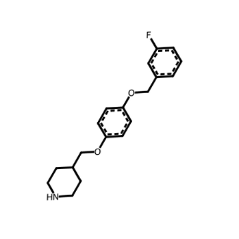 Fc1cccc(COc2ccc(OCC3CCNCC3)cc2)c1